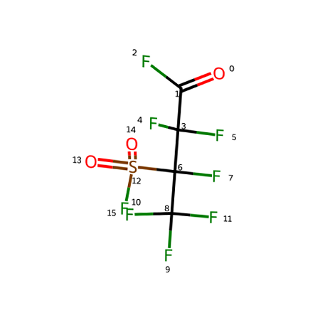 O=C(F)C(F)(F)C(F)(C(F)(F)F)S(=O)(=O)F